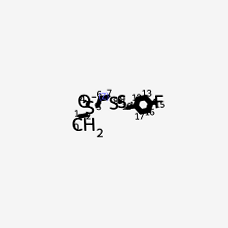 C=CC[S+]([O-])C/C=C\SSCc1ccc(F)cc1